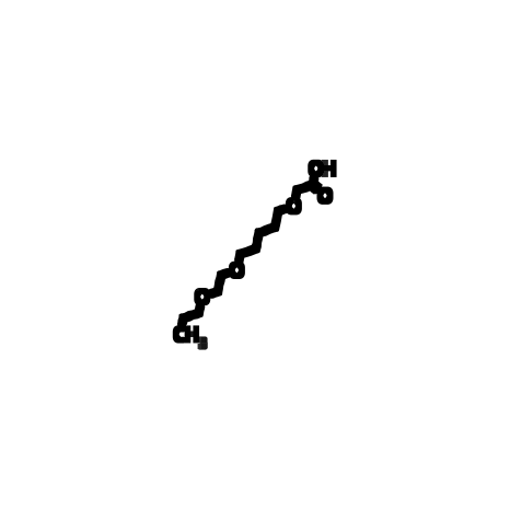 CCCOCCOCCCCCOCC(=O)O